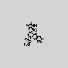 CC(C)(C)OC(=O)N1CCN(C(=O)c2ccc[nH]2)C(Cc2ccccc2)C1